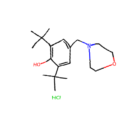 CC(C)(C)c1cc(CN2CCOCC2)cc(C(C)(C)C)c1O.Cl